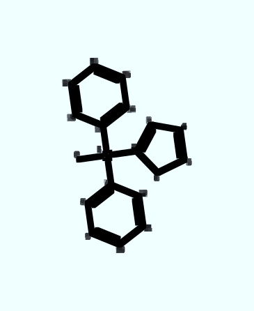 C[Si](C1=CC=CC1)(c1ccccc1)c1ccccc1